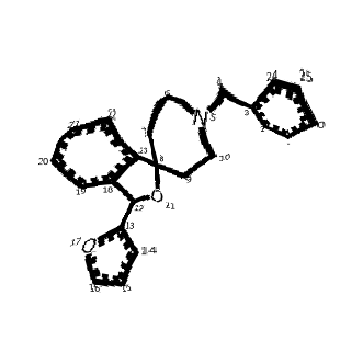 c1ccc(CN2CCC3(CC2)OC(c2ccco2)c2ccccc23)cc1